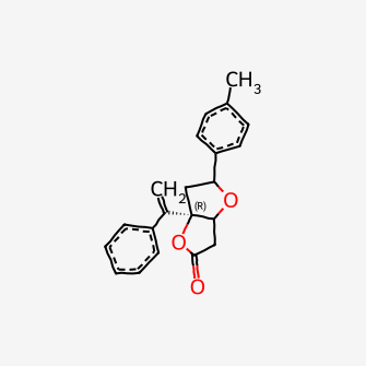 C=C(c1ccccc1)[C@]12CC(c3ccc(C)cc3)OC1CC(=O)O2